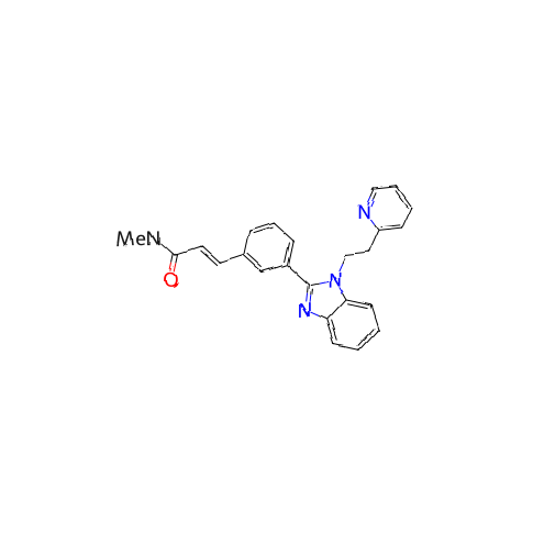 CNC(=O)/C=C/c1cccc(-c2nc3ccccc3n2CCc2ccccn2)c1